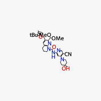 COC(OC)c1nc2c(cc1CO[Si](C)(C)C(C)(C)C)CCCN2C(=O)Nc1cc(N2CCC(C)(O)CC2)c(C#N)cn1